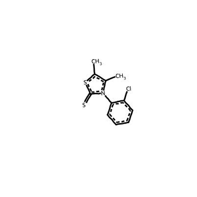 Cc1sc(=S)n(-c2ccccc2Cl)c1C